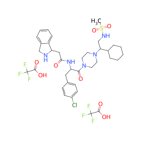 CS(=O)(=O)NCC(C1CCCCC1)N1CCN(C(=O)C(Cc2ccc(Cl)cc2)NC(=O)CC2NCc3ccccc32)CC1.O=C(O)C(F)(F)F.O=C(O)C(F)(F)F